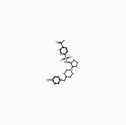 CC(=O)c1ccc(S(=O)(=O)NC2CCCC2N2CCC(Cc3ccc(Cl)cc3)CC2)cc1